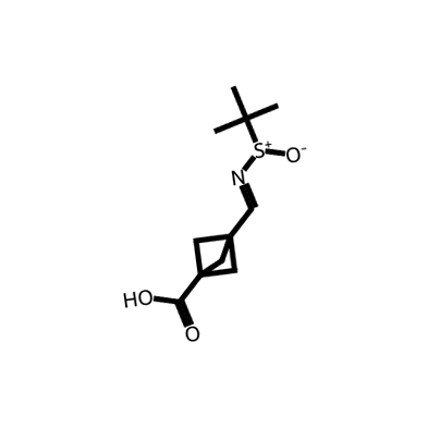 CC(C)(C)[S+]([O-])/N=C/C12CC(C(=O)O)(C1)C2